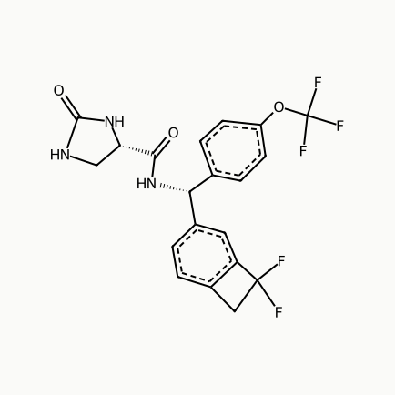 O=C1NC[C@@H](C(=O)N[C@H](c2ccc(OC(F)(F)F)cc2)c2ccc3c(c2)C(F)(F)C3)N1